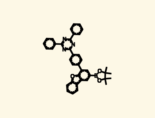 CC1(C)OB(c2cc(-c3ccc(-c4nc(-c5ccccc5)nc(-c5ccccc5)n4)cc3)c3oc4ccccc4c3c2)OC1(C)C